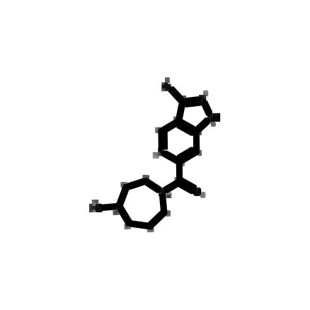 O=C(c1cc2[nH]nc(Br)c2cn1)N1CCCC(O)CC1